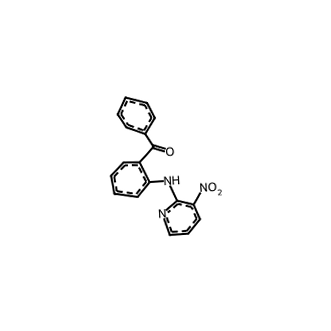 O=C(c1ccccc1)c1ccccc1Nc1ncccc1[N+](=O)[O-]